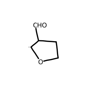 O=CC1[CH]OCC1